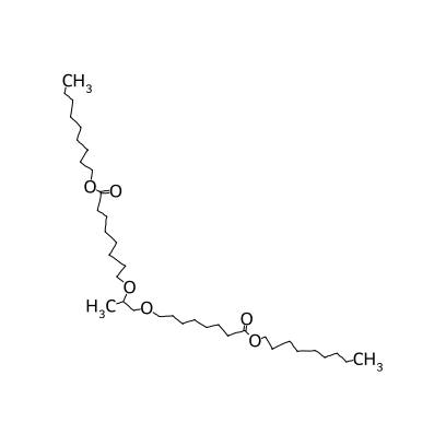 CCCCCCCCCOC(=O)CCCCCCCOCC(C)OCCCCCCCC(=O)OCCCCCCCCC